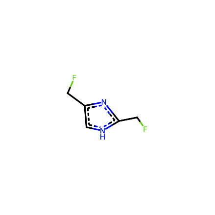 FCc1c[nH]c(CF)n1